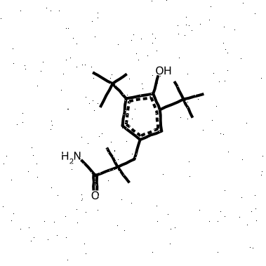 CC(C)(Cc1cc(C(C)(C)C)c(O)c(C(C)(C)C)c1)C(N)=O